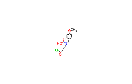 COc1ccc(CN(CCCC(=O)Cl)C(=O)O)cc1